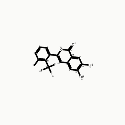 Cc1cccc(-c2cc3cc(O)c(O)cc3c(=O)o2)c1C(F)(F)F